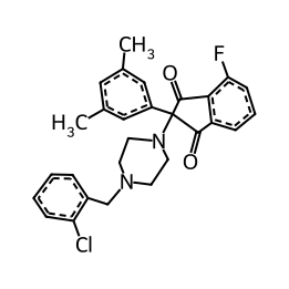 Cc1cc(C)cc(C2(N3CCN(Cc4ccccc4Cl)CC3)C(=O)c3cccc(F)c3C2=O)c1